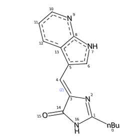 CCCCC1=N/C(=C\c2c[nH]c3ncccc23)C(=O)N1